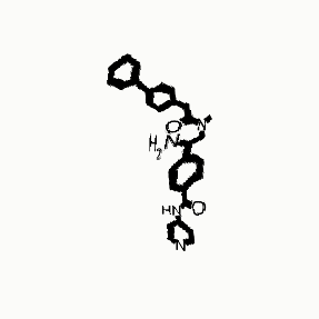 CN(CC(N)c1ccc(C(=O)Nc2ccncc2)cc1)C(=O)Cc1ccc(-c2ccccc2)cc1